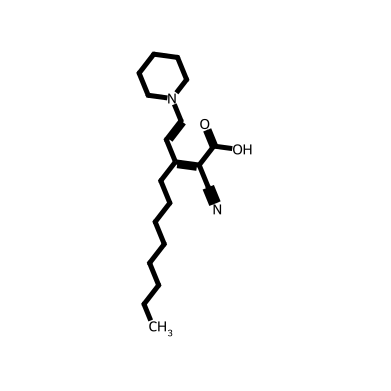 CCCCCCCCC(C=CN1CCCCC1)=C(C#N)C(=O)O